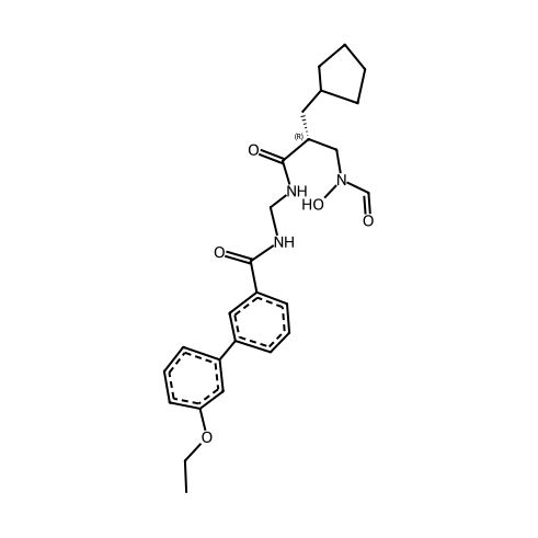 CCOc1cccc(-c2cccc(C(=O)NCNC(=O)[C@H](CC3CCCC3)CN(O)C=O)c2)c1